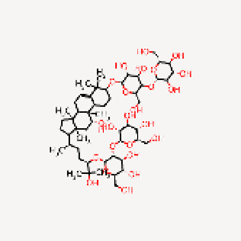 C[C@H](CC[C@@H](O[C@@H]1O[C@H](CO)[C@@H](O)[C@H](O)[C@H]1O[C@@H]1O[C@H](CO)[C@@H](O)[C@H](O)[C@H]1O)C(C)(C)O)C1CC[C@@]2(C)C3CC=C4C(CC[C@H](O[C@@H]5O[C@H](CO)C(O[C@@H]6O[C@H](CO)[C@@H](O)[C@H](O)[C@H]6O)[C@H](O)[C@H]5O)C4(C)C)[C@]3(C)[C@H](O)C[C@]12C